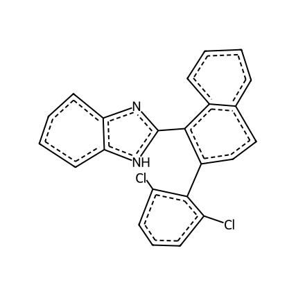 Clc1cccc(Cl)c1-c1ccc2ccccc2c1-c1nc2ccccc2[nH]1